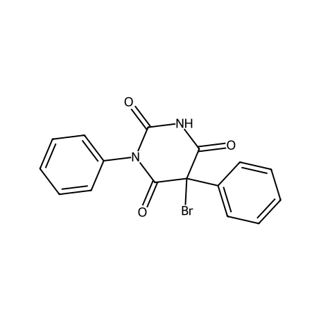 O=C1NC(=O)C(Br)(c2ccccc2)C(=O)N1c1ccccc1